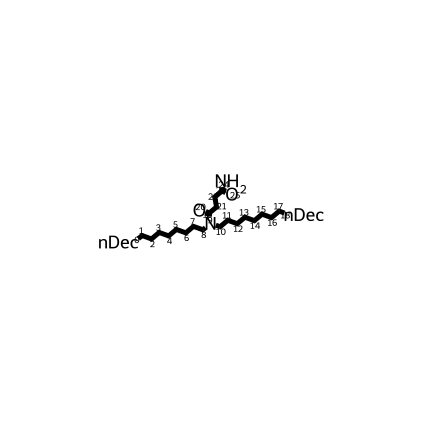 CCCCCCCCCCCCCCCCCCN(CCCCCCCCCCCCCCCCCC)C(=O)CCC(N)=O